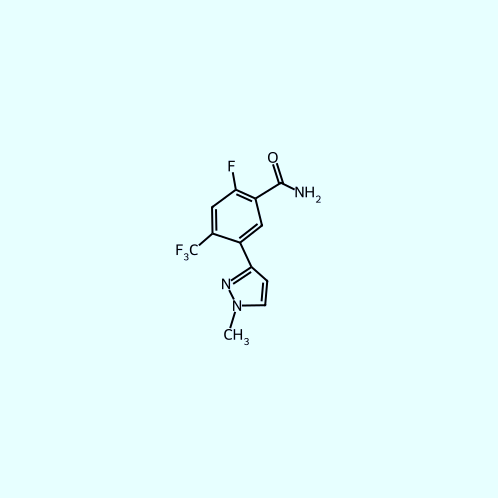 Cn1ccc(-c2cc(C(N)=O)c(F)cc2C(F)(F)F)n1